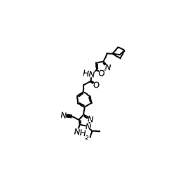 CC(C)n1nc(-c2ccc(CC(=O)Nc3cc(CC45CC(C4)C5)no3)cc2)c(C#N)c1N